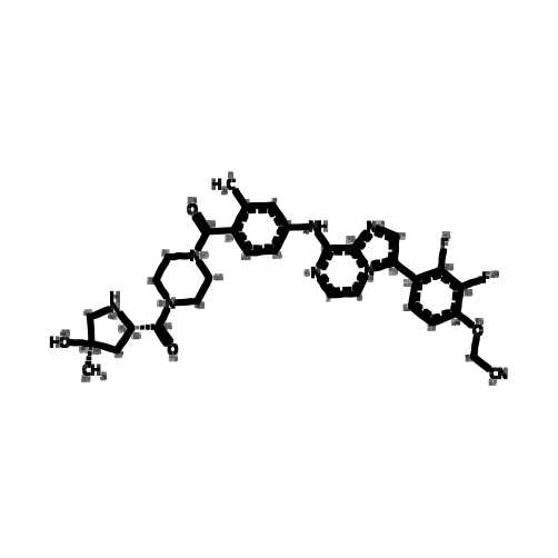 Cc1cc(Nc2nccn3c(-c4ccc(OCC#N)c(F)c4F)cnc23)ccc1C(=O)N1CCN(C(=O)[C@@H]2C[C@@](C)(O)CN2)CC1